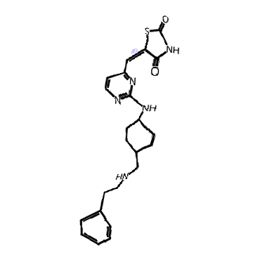 O=C1NC(=O)/C(=C\c2ccnc(NC3CCC(CNCCc4ccccc4)CC3)n2)S1